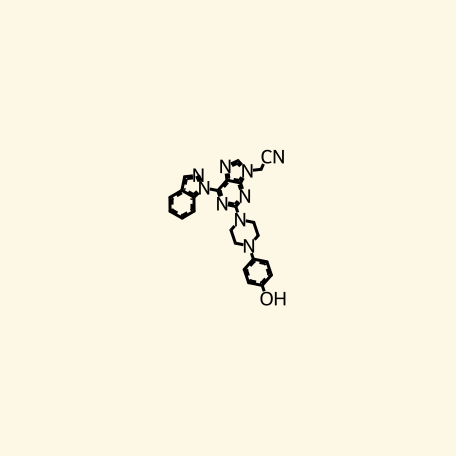 N#CCn1cnc2c(-n3ncc4ccccc43)nc(N3CCN(c4ccc(O)cc4)CC3)nc21